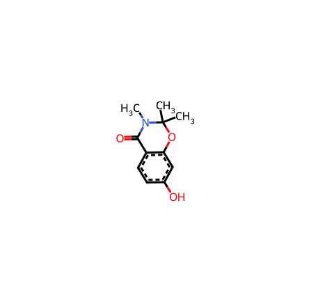 CN1C(=O)c2ccc(O)cc2OC1(C)C